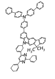 CC1(C)c2ccccc2-c2cc3c4cc(-c5ccc(N(c6ccc(-c7ccccc7)cc6)c6ccc(-c7ccccc7)cc6)cc5)ccc4n(C4C=CC=C(c5cc(C6=CCCC=C6)nc(C6C=CC=CC6)n5)C4)c3cc21